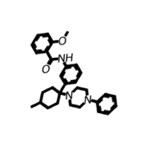 COc1ccccc1C(=O)Nc1cccc(C2(N3CCN(c4ccccc4)CC3)CCC(C)CC2)c1